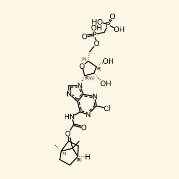 CC1(C)[C@@H]2CC[C@@]1(C)C(OC(=O)Nc1nc(Cl)nc3c1ncn3[C@@H]1O[C@H](COP(=O)(O)CP(=O)(O)O)[C@H](O)[C@@H]1O)C2